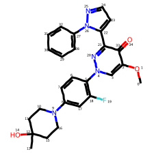 COc1cn(-c2ccc(N3CCC(C)(O)CC3)cc2F)nc(-c2ccnn2-c2ccccc2)c1=O